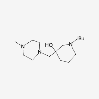 CCC(C)N1CCCC(O)(CN2CCN(C)CC2)C1